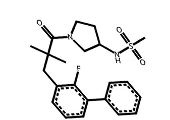 CC(C)(Cc1cccc(-c2ccccc2)c1F)C(=O)N1CCC(NS(C)(=O)=O)C1